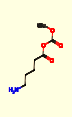 CC(C)(C)OC(=O)OC(=O)CCCCN